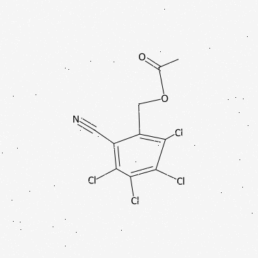 CC(=O)OCc1c(Cl)c(Cl)c(Cl)c(Cl)c1C#N